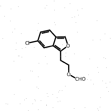 O=COCCc1occ2ccc(Cl)cc12